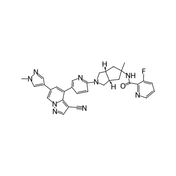 Cn1cc(-c2cc(-c3ccc(N4C[C@@H]5CC(C)(NC(=O)c6ncccc6F)C[C@@H]5C4)nc3)c3c(C#N)cnn3c2)cn1